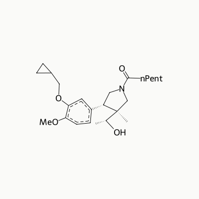 CCCCCC(=O)N1C[C@@H](c2ccc(OC)c(OCC3CC3)c2)[C@](C)([C@@H](C)O)C1